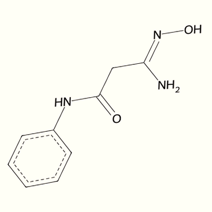 N/C(CC(=O)Nc1ccccc1)=N\O